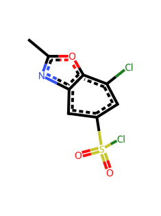 Cc1nc2cc(S(=O)(=O)Cl)cc(Cl)c2o1